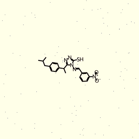 CC(C)Cc1ccc(C(C)c2nnc(S)n2/N=C/c2cccc([N+](=O)[O-])c2)cc1